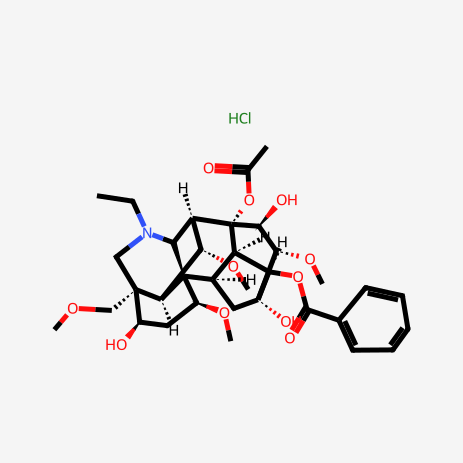 CCN1C[C@]2(COC)[C@H](O)C[C@H](OC)[C@]34C1[C@H]([C@H](OC)[C@H]23)[C@]1(OC(C)=O)[C@H]2[C@@H](OC(=O)c3ccccc3)[C@](O)(C[C@H]24)[C@@H](OC)[C@@H]1O.Cl